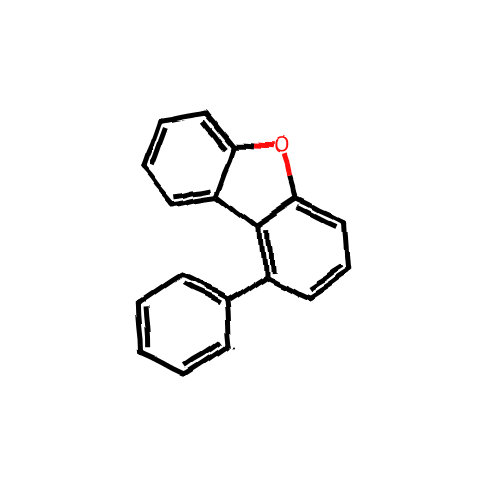 [c]1ccccc1-c1cccc2oc3ccccc3c12